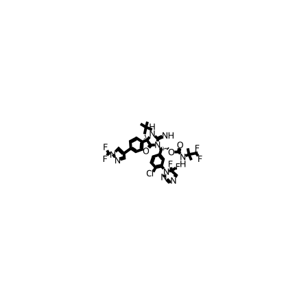 CC(C)(C)C[C@]1(c2ccc(-c3cnn(C(F)F)c3)cc2)NC(=N)N([C@H](COC(=O)NC(C)(C)C(F)F)c2ccc(Cl)c(N3N=CN=CC3(F)F)c2)C1=O